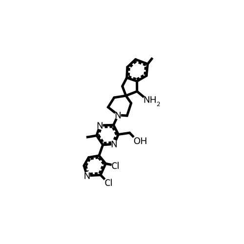 Cc1ccc2c(c1)C(N)C1(CCN(c3nc(C)c(-c4ccnc(Cl)c4Cl)nc3CO)CC1)C2